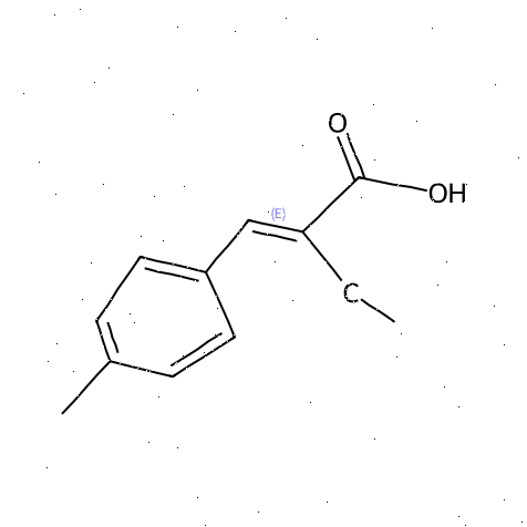 CC/C(=C\c1ccc(C)cc1)C(=O)O